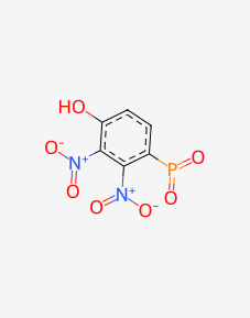 O=[N+]([O-])c1c(O)ccc(P(=O)=O)c1[N+](=O)[O-]